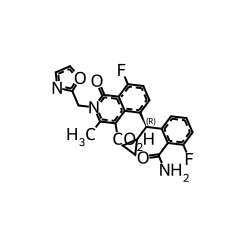 Cc1c(C(=O)O)c2c([C@@H](c3cccc(F)c3C(N)=O)C3CC3)ccc(F)c2c(=O)n1Cc1ncco1